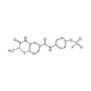 CC1Sc2ccc(C(=O)Nc3ccc(OS(=O)(=O)F)cc3)cc2NC1=O